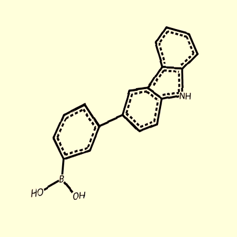 OB(O)c1cccc(-c2ccc3[nH]c4ccccc4c3c2)c1